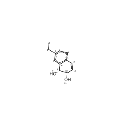 CCc1ccc2c(c1)[C@@H](O)[C@@H](O)C=C2